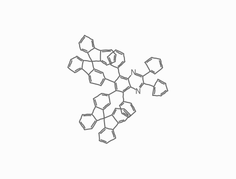 c1ccc(-c2nc3c(-c4ccccc4)c(-c4ccc5c(c4)C4(c6ccccc6-c6ccccc64)c4ccccc4-5)c(-c4ccc5c(c4)C4(c6ccccc6-c6ccccc64)c4ccccc4-5)c(-c4ccccc4)c3nc2-c2ccccc2)cc1